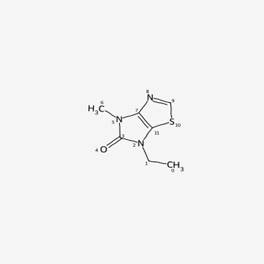 CCn1c(=O)n(C)c2ncsc21